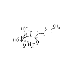 CCCCCC(=O)C(CC)(CC)O[PH](=O)O